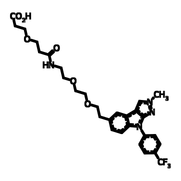 Cn1cc2c3cc(CCOCCOCCNC(=O)CCOCCC(=O)O)ccc3n(-c3ccc(C(F)(F)F)cc3)c2n1